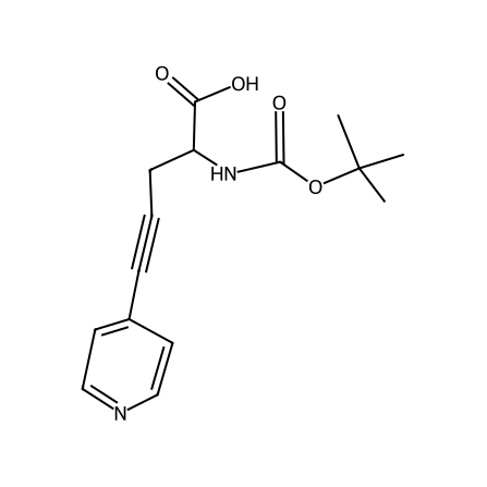 CC(C)(C)OC(=O)NC(CC#Cc1ccncc1)C(=O)O